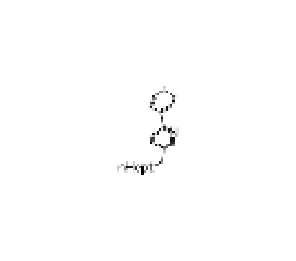 CCCCCCCCc1ccc(C2=CC[CH]C=C2)nc1